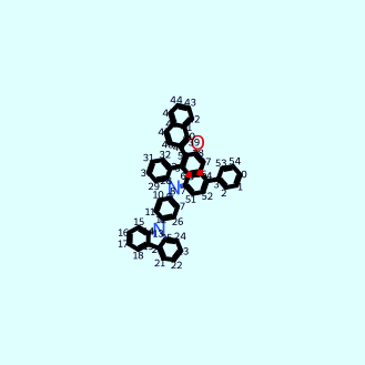 c1ccc(-c2ccc(N(c3ccc(-n4c5ccccc5c5ccccc54)cc3)c3ccccc3-c3cccc4oc5c6ccccc6ccc5c34)cc2)cc1